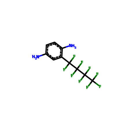 Nc1ccc(N)c(C(F)(F)C(F)(F)C(F)(F)C(F)(F)F)c1